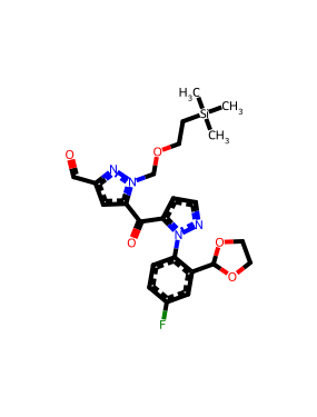 C[Si](C)(C)CCOCn1nc(C=O)cc1C(=O)c1ccnn1-c1ccc(F)cc1C1OCCO1